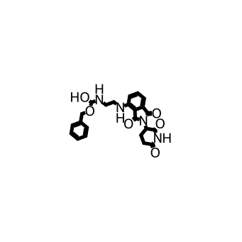 O=C1CCC(N2C(=O)c3cccc(NCCNC(O)OCc4ccccc4)c3C2=O)C(=O)N1